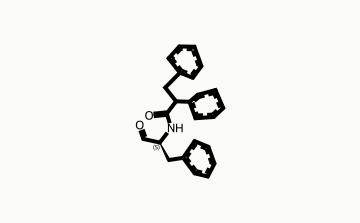 O=C[C@H](Cc1ccccc1)NC(=O)C(Cc1ccccc1)c1ccccc1